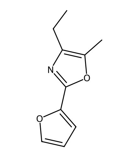 CCc1nc(-c2ccco2)oc1C